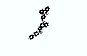 O=C(Nc1ccc(CON2CCC3(C=C(C(=O)N4CCN(c5ccncc5)CC4)CC3)Cc3ccccc32)cc1)c1ccccc1-c1ccccc1